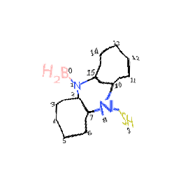 BN1C2CCCCC2N(S)C2CCCCC21